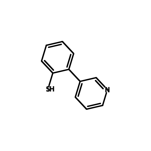 Sc1ccccc1-c1cccnc1